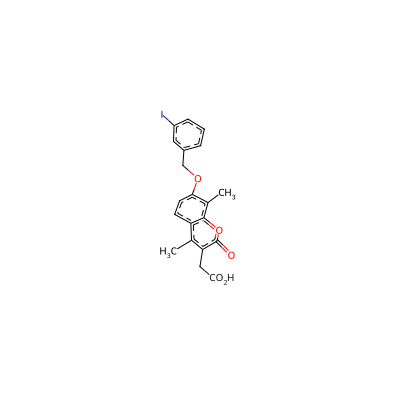 Cc1c(CC(=O)O)c(=O)oc2c(C)c(OCc3cccc(I)c3)ccc12